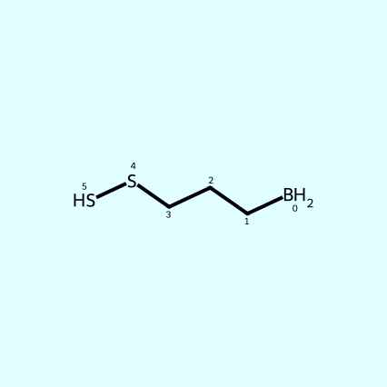 BCCCSS